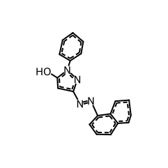 Oc1cc(N=Nc2cccc3ccccc23)nn1-c1ccccc1